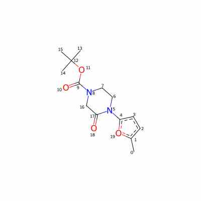 Cc1ccc(N2CCN(C(=O)OC(C)(C)C)CC2=O)o1